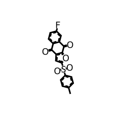 Cc1ccc(S(=O)(=O)c2cc3c(o2)C(=O)c2cc(F)ccc2C3=O)cc1